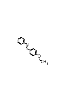 CCOc1ccc(/N=N/c2ccccc2)cc1